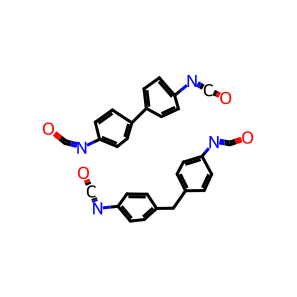 O=C=Nc1ccc(-c2ccc(N=C=O)cc2)cc1.O=C=Nc1ccc(Cc2ccc(N=C=O)cc2)cc1